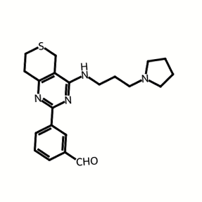 O=Cc1cccc(-c2nc3c(c(NCCCN4CCCC4)n2)CSCC3)c1